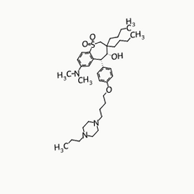 CCCCC1(CCCC)CS(=O)(=O)c2ccc(N(C)C)cc2[C@@H](c2ccc(OCCCCN3CCN(CCC)CC3)cc2)[C@H]1O